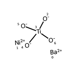 [Ba+2].[Ni+2].[O-][Ti]([O-])([O-])[O-]